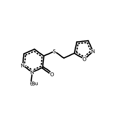 CC(C)(C)n1nccc(SCc2ccno2)c1=O